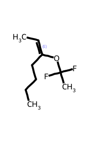 C/C=C(\CCCC)OC(C)(F)F